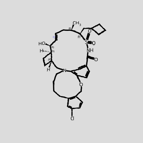 C[C@@H]1C/C=C/[C@H](O)[C@@H]2CC[C@H]2CN2CCCCc3cc(Cl)ccc3COc3ccc(cc32)C(=O)NS(=O)(=O)[C@@H]1CC1CCC1